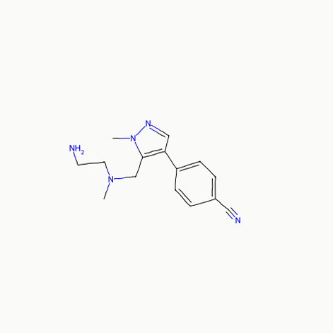 CN(CCN)Cc1c(-c2ccc(C#N)cc2)cnn1C